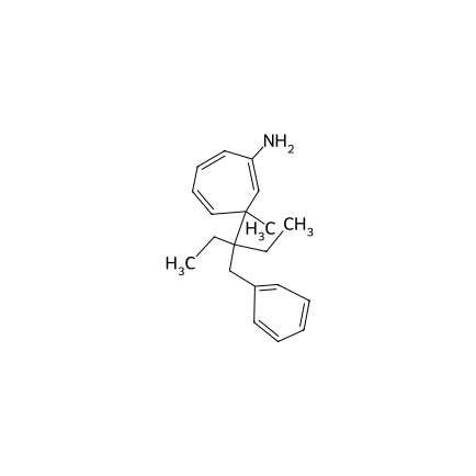 CCC(CC)(Cc1ccccc1)C1(C)C=CC=CC(N)=C1